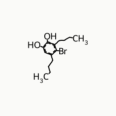 CCCCc1cc(O)c(O)c(CCCC)c1Br